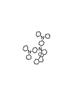 c1ccc(N(c2ccccc2)c2ccc(N(c3ccc(N(c4ccccc4)c4ccccc4)cc3)c3cccc4c3oc3c5ccccc5ccc43)cc2)cc1